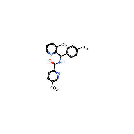 O=C(O)c1ccc(C(=O)NC(c2ccc(C(F)(F)F)cc2)c2ncccc2C(F)(F)F)nc1